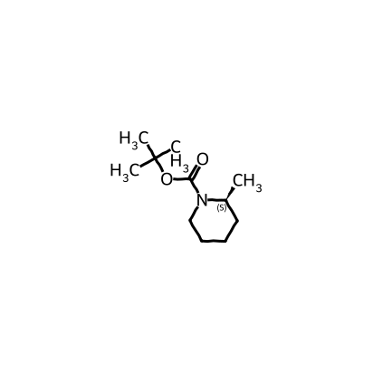 C[C@H]1CCCCN1C(=O)OC(C)(C)C